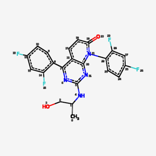 CC(CO)Nc1nc(-c2ccc(F)cc2F)c2ccc(=O)n(-c3ccc(F)cc3F)c2n1